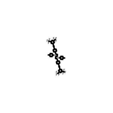 Cc1ccc(-n2c(-c3ccc(C#Cc4cc(C(F)(F)F)cc(C(F)(F)F)c4)cc3)cc3c2cc(-c2ccc(C#Cc4cc(C(F)(F)F)cc(C(F)(F)F)c4)cc2)n3-c2ccc(C)cc2)cc1